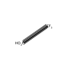 O=C(O)C(F)(F)C(F)(F)C(F)(F)C(F)(F)C(F)(F)C(F)(F)C(F)(F)C(F)(F)C(F)(F)C(F)(F)C(F)(F)C(F)(F)C(F)(F)C(F)(F)C(F)(F)C(F)(F)C(F)(F)C(F)(F)C(F)(F)C(F)(F)C(F)(F)C(F)(F)C(F)(F)C(F)(F)F